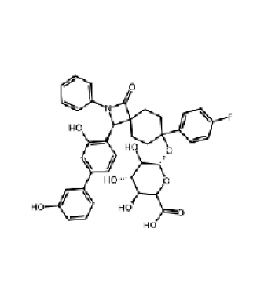 O=C(O)C1O[C@@H](OC2(c3ccc(F)cc3)CCC3(CC2)C(=O)N(c2ccccc2)[C@@H]3c2ccc(-c3cccc(O)c3)cc2O)C(O)[C@@H](O)[C@@H]1O